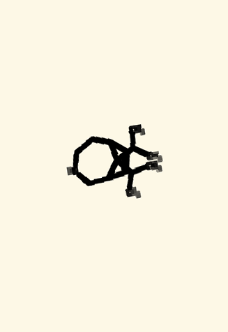 CC(C)C1(C(C)C)C2C=CC1CNCC2